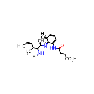 C=C1C=CC=C(NC(=O)CCC(=O)O)/C1=N/C(=C)C(NCC)C(C)/C=C\C